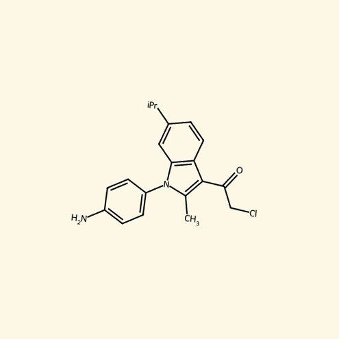 Cc1c(C(=O)CCl)c2ccc(C(C)C)cc2n1-c1ccc(N)cc1